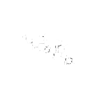 COC(=O)C(C)CC(Cc1ncc(C)cn1)NC(=O)c1csc(C(CC(C(C)C)N(C)C(=O)CC2CC2)OC(C)=O)n1